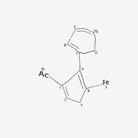 CC(=O)C1=CC[C]([Fe])=C1C1=CC=CC1